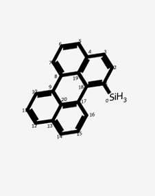 [SiH3]c1ccc2cccc3c4cccc5cccc(c1c23)c54